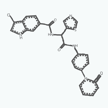 O=C(NC(C(=O)Nc1ccc(-n2ccccc2=O)cc1)c1cncs1)c1ccc2c(Cl)c[nH]c2c1